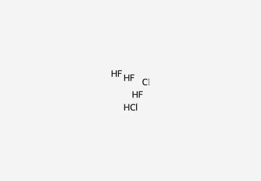 Cl.F.F.F.[C]